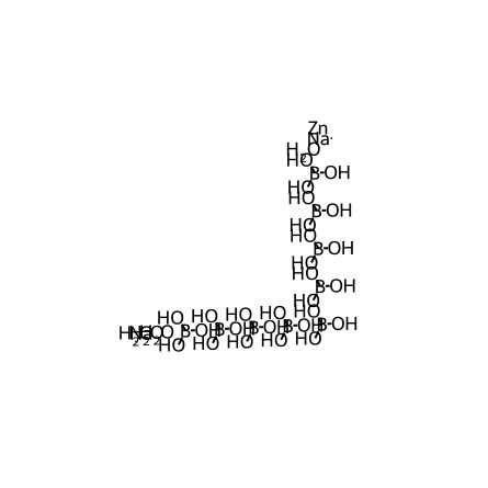 O.O.O.O.OB(O)O.OB(O)O.OB(O)O.OB(O)O.OB(O)O.OB(O)O.OB(O)O.OB(O)O.OB(O)O.[Na].[Na].[Zn]